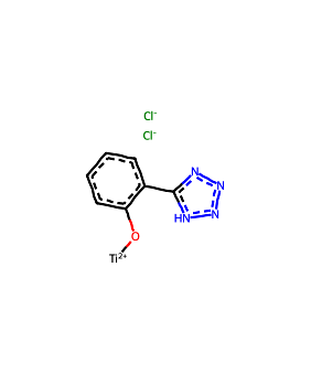 [Cl-].[Cl-].[Ti+2][O]c1ccccc1-c1nnn[nH]1